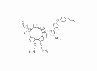 CCCCc1ccc(Oc2ccc(C(=O)N[C@@H](CCN)C(=O)N(C)[C@@H]3C(=O)N[C@@H](C)C(=O)N[C@H](C(=O)NCC#N)Cc4ccc(OCCN)c(c4)-c4cc3ccc4OCCN)c(C)c2)cc1